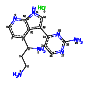 Cl.NCCC(N)c1ccnc2[nH]cc(-c3ccnc(N)n3)c12